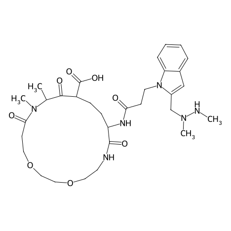 CNN(C)Cc1cc2ccccc2n1CCC(=O)NC1CCC(C(=O)O)C(=O)C(C)N(C)C(=O)CCOCCOCCNC1=O